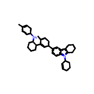 CC1=CCC(NC2CCCCC2C2=CC(c3ccc4c(c3)c3c(n4C4C=CCCC4)CCCC3)CCC2C)C=C1